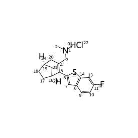 CN(C)CC1=C(c2cc3ccc(F)cc3s2)[C@H]2CC[C@@H](C1)C2.Cl